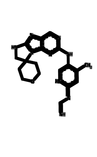 Cc1c/c(=N/C=N)[nH]cc1Nc1ncc2nc3n(c2n1)C1(CCOCC1)CN3